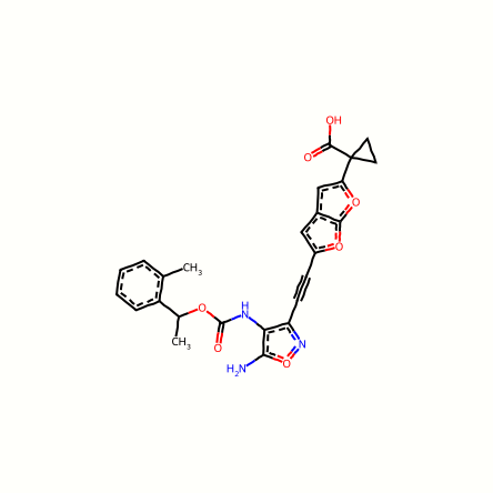 Cc1ccccc1C(C)OC(=O)Nc1c(C#Cc2cc3cc(C4(C(=O)O)CC4)oc3o2)noc1N